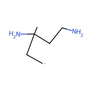 [CH2]CC(C)(N)CCN